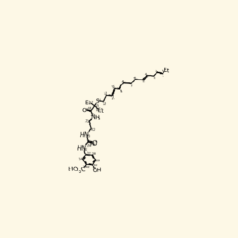 CCC=CCC=CCC=CCC=CCCSC(CC)(CC)C(=O)NCCNC(=O)Nc1ccc(O)c(C(=O)O)c1